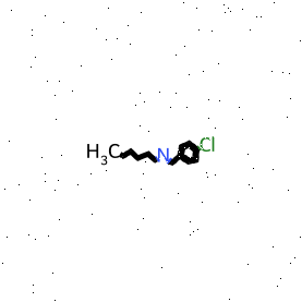 CCCCCC/N=C/c1ccc(Cl)cc1